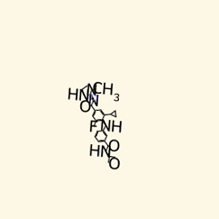 CN1CCN/C1=N\C(=O)c1cc(F)c(Nc2cccc(C(=O)NC3COC3)c2)c(C2CC2)c1